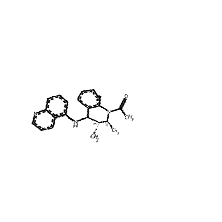 CC(=O)N1c2ccccc2C(Nc2cccc3ncccc23)[C@@H](C)[C@@H]1C